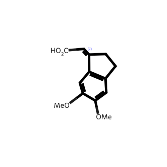 COc1cc2c(cc1OC)/C(=C\C(=O)O)CC2